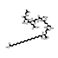 CC(=O)CNC(=O)[C@H](CO)NC(=O)[C@H](CCC(=O)O)NC(=O)CNC(=O)[C@H](CO)NC(=O)CC[C@@H](CO)NC(=O)CC[C@H](NC(=O)CCCCCCCCCCCCCCCCC(=O)O)C(=O)O